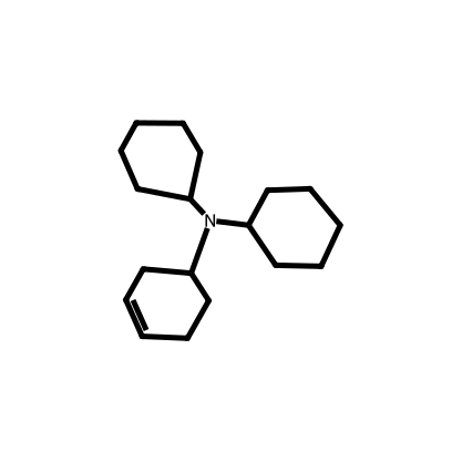 C1=CCC(N(C2CCCCC2)C2CCCCC2)CC1